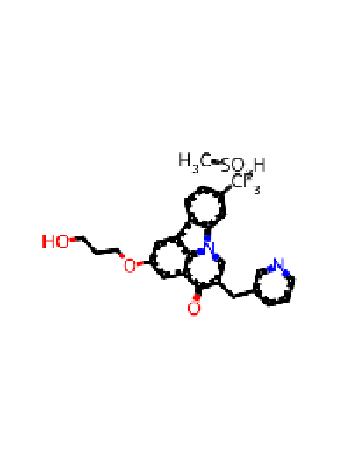 CS(=O)(=O)O.O=c1c(Cc2cccnc2)cn2c3cc(C(F)(F)F)ccc3c3cc(OCCCO)cc1c32